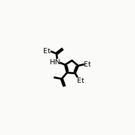 C=C(CC)NC1=C(C(=C)C)C(CC)=C(CC)C1